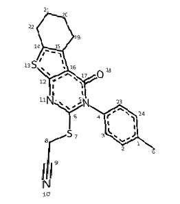 Cc1ccc(-n2c(SCC#N)nc3sc4c(c3c2=O)CCCC4)cc1